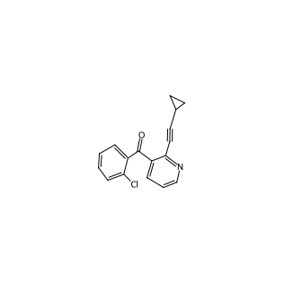 O=C(c1ccccc1Cl)c1cccnc1C#CC1CC1